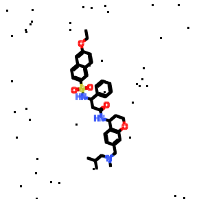 CCOc1ccc2cc(S(=O)(=O)NC(CC(=O)NC3CCOc4cc(CN(C)CC(C)C)ccc43)c3ccccc3)ccc2c1